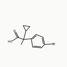 CC(C(=O)O)(c1ccc(Br)cc1)C1CC1